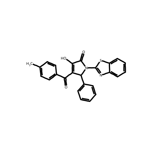 Cc1ccc(C(=O)C2=C(O)C(=O)N(c3nc4ccccc4s3)C2c2ccccc2)cc1